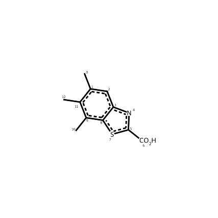 Cc1cc2nc(C(=O)O)sc2c(C)c1C